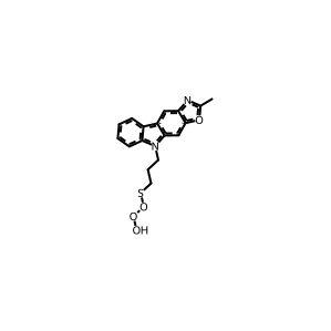 Cc1nc2cc3c4ccccc4n(CCCSOOO)c3cc2o1